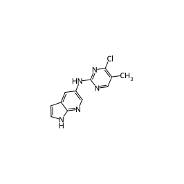 Cc1cnc(Nc2cnc3[nH]ccc3c2)nc1Cl